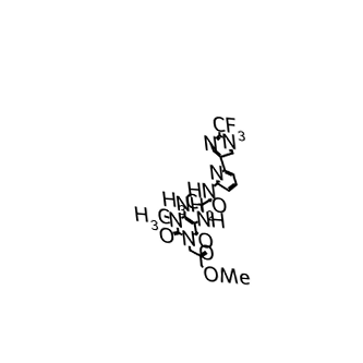 COCC(=O)Cn1c(=O)c(N[C@@H](C)C(=O)Nc2cccc(-c3cnc(C(F)(F)F)nc3)n2)c(N)n(C)c1=O